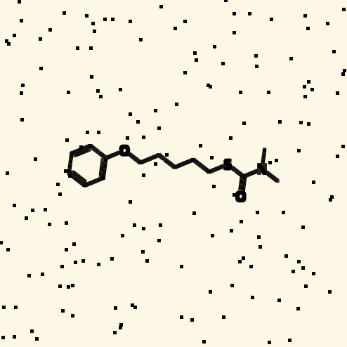 CN(C)C(=O)SCCCCCOc1ccccc1